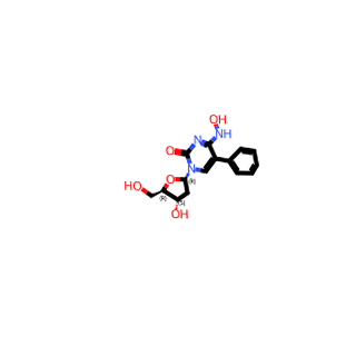 O=c1nc(NO)c(-c2ccccc2)cn1[C@H]1C[C@H](O)[C@@H](CO)O1